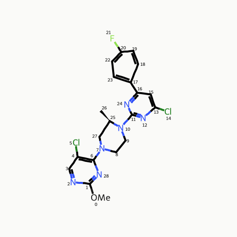 COc1ncc(Cl)c(N2CCN(c3nc(Cl)cc(-c4ccc(F)cc4)n3)[C@H](C)C2)n1